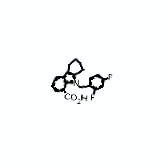 O=C(O)c1cccc2c3c(n(Cc4ccc(F)cc4F)c12)CCCC3